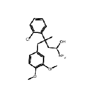 COc1ccc(CC(C)(C[C@H](N)O)c2ccccc2Cl)cc1OC